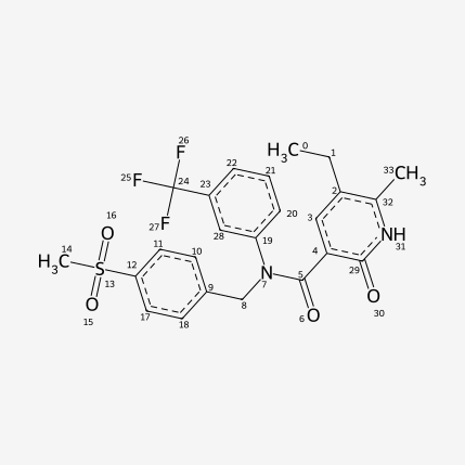 CCc1cc(C(=O)N(Cc2ccc(S(C)(=O)=O)cc2)c2cccc(C(F)(F)F)c2)c(=O)[nH]c1C